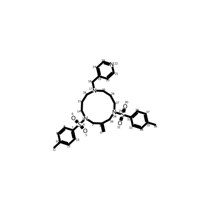 C=C1CN(S(=O)(=O)c2ccc(C)cc2)CCCN(Cc2ccncc2)CCCN(S(=O)(=O)c2ccc(C)cc2)C1